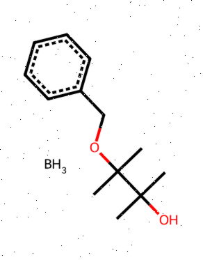 B.CC(C)(O)C(C)(C)OCc1ccccc1